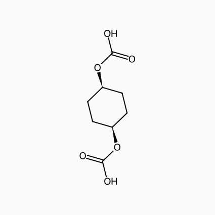 O=C(O)O[C@H]1CC[C@@H](OC(=O)O)CC1